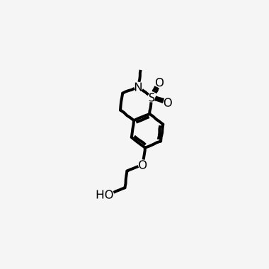 CN1CCc2cc(OCCO)ccc2S1(=O)=O